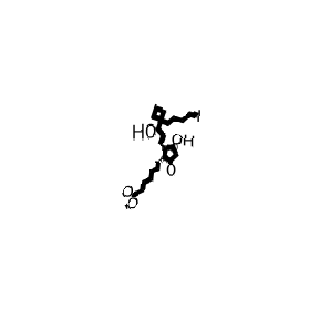 COC(=O)CCCCCC[C@H]1C(=O)C[C@@H](O)[C@@H]1C=C[C@@H](O)C1(CCCCI)CCC1